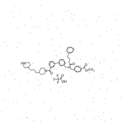 COC(=O)c1ccc(CN(Cc2cccc(-c3cccc(C(=O)N4CCC(CCCC5CCNCC5)CC4)c3)c2)C(=O)CCCc2ccccc2)cc1.O=C(O)C(F)(F)F